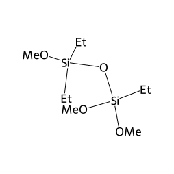 CC[Si](CC)(OC)O[Si](CC)(OC)OC